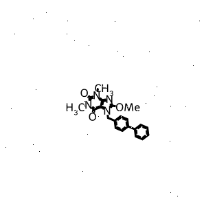 COc1nc2c(c(=O)n(C)c(=O)n2C)n1Cc1ccc(-c2ccccc2)cc1